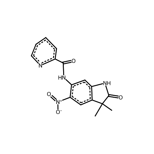 CC1(C)C(=O)Nc2cc(NC(=O)c3ccccn3)c([N+](=O)[O-])cc21